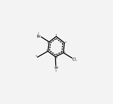 Cc1c(Br)ccc(Cl)c1Br